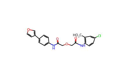 O=C(COCC(=O)Nc1ccc(Cl)cc1C(=O)O)Nc1ccc(-c2ccoc2)cc1